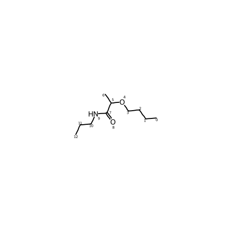 CCCCOC(C)C(=O)NCCC